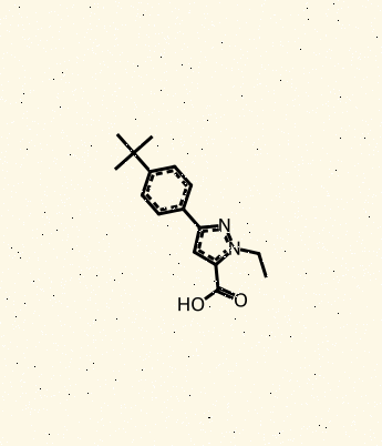 CCn1nc(-c2ccc(C(C)(C)C)cc2)cc1C(=O)O